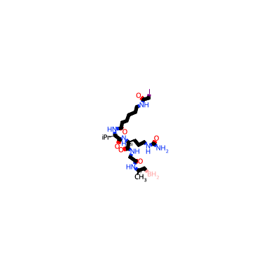 BC[C@@H](C)NC(=O)CNC(=O)[C@H](CCCNC(N)=O)NC(=O)[C@@H](NC(=O)CCCCCNC(=O)CI)C(C)C